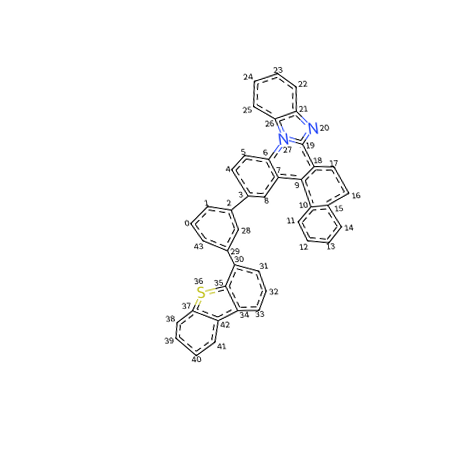 c1cc(-c2ccc3c(c2)c2c4ccccc4ccc2c2nc4ccccc4n32)cc(-c2cccc3c2sc2ccccc23)c1